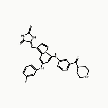 O=C1NC(=O)/C(=C/c2cnn3c(Nc4cccc(C(=O)N5CCNCC5)c4)cc(Nc4cccc(Cl)c4)nc23)N1